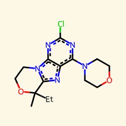 CCC1(C)OCCn2c1nc1c(N3CCOCC3)nc(Cl)nc12